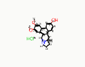 COc1cc2c3c(c4ccc(O)cc4c2cc1OC)C[C@@H]1CCCN1C3.Cl